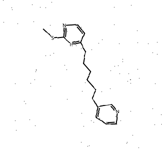 CSc1nccc(CCCCCCc2cccnc2)n1